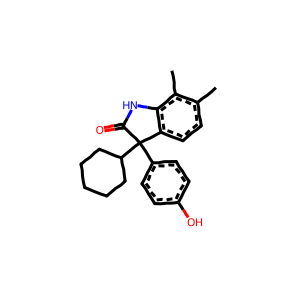 Cc1ccc2c(c1C)NC(=O)C2(c1ccc(O)cc1)C1CCCCC1